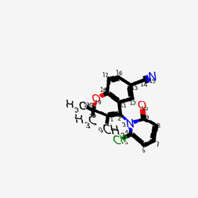 CC1=C(n2c(Cl)cccc2=O)c2cc(C#N)ccc2OC1(C)C